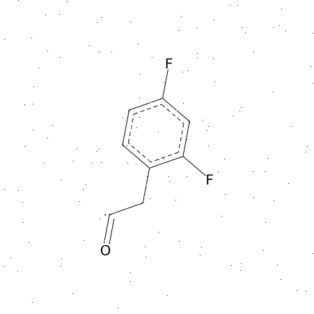 O=[C]Cc1ccc(F)cc1F